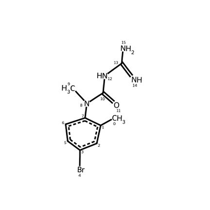 Cc1cc(Br)ccc1N(C)C(=O)NC(=N)N